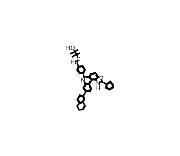 CC(C)(O)C(C)(C)OBc1ccc(-c2nc3cc(-c4ccc5c(c4)C=CCC5)ccc3c3c4c(ccc23)OC(c2ccccc2)N4)cc1